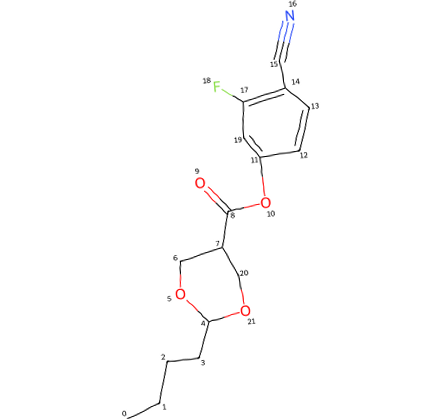 CCCCC1OCC(C(=O)Oc2ccc(C#N)c(F)c2)CO1